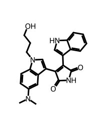 CN(C)c1ccc2c(c1)c(C1=C(c3c[nH]c4ccccc34)C(=O)NC1=O)cn2CCCO